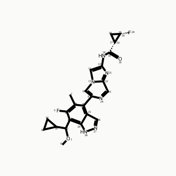 COC(c1c(F)c(C)c(-c2cn3cc(NC(=O)[C@@H]4C[C@@H]4F)nc3cn2)c2cn[nH]c12)C1CC1